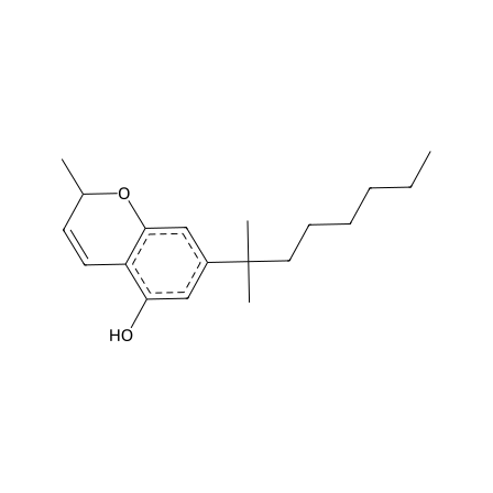 CCCCCCC(C)(C)c1cc(O)c2c(c1)OC(C)C=C2